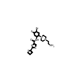 NCCN1CCN(c2cc(Br)c(F)cc2NC(=O)c2csc(-c3cccs3)n2)CC1